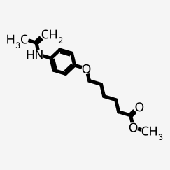 C=C(C)Nc1ccc(OCCCCCC(=O)OC)cc1